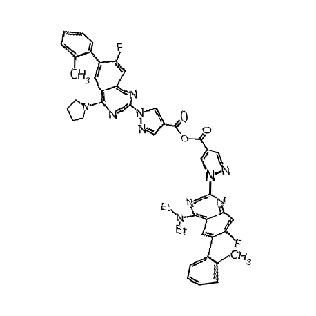 CCN(CC)c1nc(-n2cc(C(=O)OC(=O)c3cnn(-c4nc(N5CCCC5)c5cc(-c6ccccc6C)c(F)cc5n4)c3)cn2)nc2cc(F)c(-c3ccccc3C)cc12